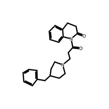 O=C1CCc2ccccc2N1C(=O)CCN1CCC(Cc2ccccc2)CC1